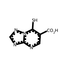 O=C(O)c1cnc2ncnn2c1S